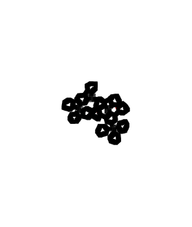 c1ccc(-c2cc([Si](c3ccccc3)(c3ccccc3)c3ccccc3)cc(-c3ccccc3)c2-n2c3ccccc3c3cc(-n4c5ccccc5c5ccc([Si](c6ccccc6)(c6ccccc6)c6ccccc6)cc54)ccc32)cc1